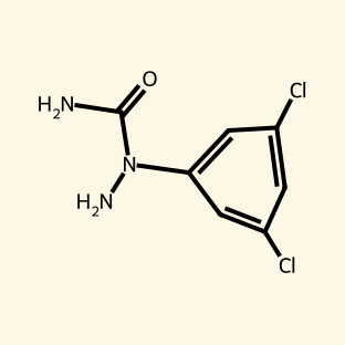 NC(=O)N(N)c1cc(Cl)cc(Cl)c1